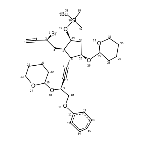 C#C[C@@H](Br)C[C@@H]1[C@@H](C#C[C@@H](COc2ccccc2)OC2CCCCO2)[C@H](OC2CCCCO2)C[C@@H]1O[Si](C)(C)C(C)(C)C